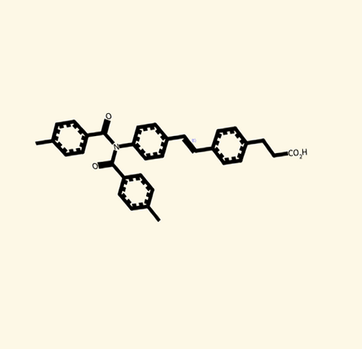 Cc1ccc(C(=O)N(C(=O)c2ccc(C)cc2)c2ccc(/C=C/c3ccc(CCC(=O)O)cc3)cc2)cc1